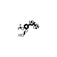 CC1(c2nnco2)CC(c2ccc(OC(F)F)c(OCCO)c2)=NO1